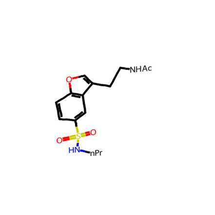 CCCNS(=O)(=O)c1ccc2occ(CCNC(C)=O)c2c1